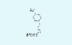 CCCC(C)OCCc1ccc(C(C)=O)cc1